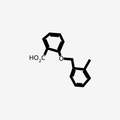 Cc1ccccc1COc1ccccc1C(=O)O